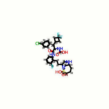 O=C(O)N[C@@H](C(=O)Nc1cccc(F)c1CCC1CNC2CCCS(O)(O)N1C2)[C@@H](c1ccc(Cl)cc1)C1CC(F)(F)C1